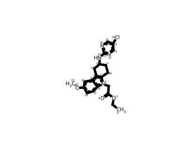 CCOC(=O)Cn1c2c(c3cc(OC)ccc31)CC(Nc1ncc(Cl)cn1)CC2